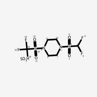 O=S(=O)(C(F)F)N1CCN(S(=O)(=O)C(F)(F)S(=O)(=O)O)CC1